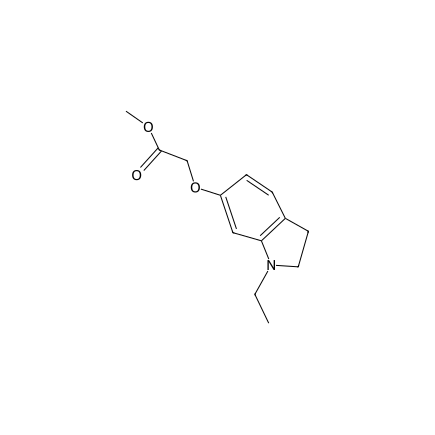 CCN1CCc2ccc(OCC(=O)OC)cc21